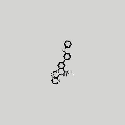 CC(NCc1ncccn1)c1cc(-c2cccc(Oc3ccccc3)c2)ccc1OC=O